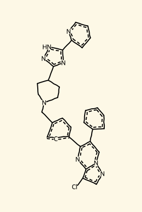 Clc1cnn2cc(-c3ccccc3)c(-c3ccc(CN4CCC(c5n[nH]c(-c6ccccn6)n5)CC4)cc3)nc12